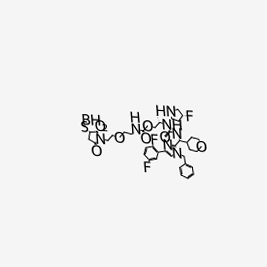 BS[C@H]1CC(=O)N(CCOCCNC(=O)OC[C@H](C)NC(=O)N(C[C@@H]2CNC[C@@H]2F)[C@@H](c2nc(-c3cc(F)ccc3F)cn2Cc2ccccc2)C2CCOCC2)C1=O